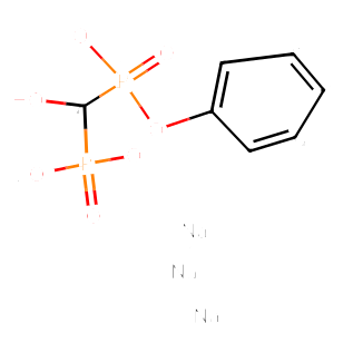 O=P([O-])([O-])C(O)P(=O)([O-])Oc1ccccc1.[Na+].[Na+].[Na+]